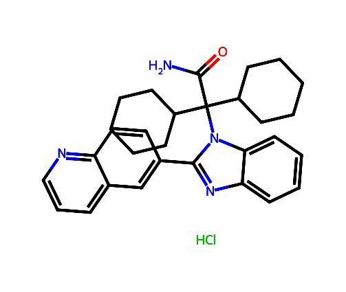 Cl.NC(=O)C(C1CCCCC1)(C1CCCCC1)n1c(-c2ccc3ncccc3c2)nc2ccccc21